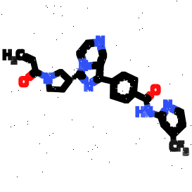 C=CC(=O)N1CC[C@@H](c2nc(-c3ccc(C(=O)Nc4cc(C(F)(F)F)ccn4)cc3)c3cnccn23)C1